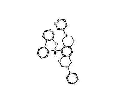 O=P1(c2c3c(cc4c2OCN(c2cccnc2)C4)OCN(c2cccnc2)C3)Oc2ccccc2-c2ccccc21